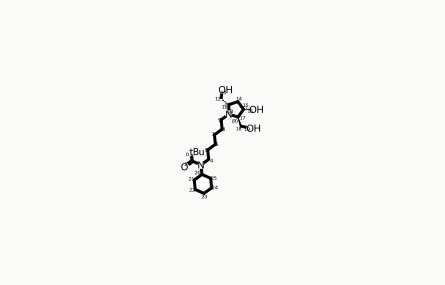 CC(C)(C)C(=O)N(CCCCCCN1[C@H](CO)C[C@H](O)[C@H]1CO)C1CCCCC1